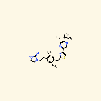 Cc1cc(Cc2nc(-c3cnc(C(C)(C)C)cn3)cs2)c(C)cc1CCN1CCNC1=N